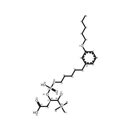 CCCCCOc1cccc(CCCCCOP(=O)(O)O[C@H](CC(=O)O)C([O-])[N+](C)(C)C)c1